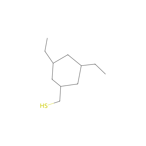 CCC1CC(CC)CC(CS)C1